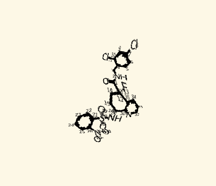 O=C(NCc1ccc(Cl)cc1Cl)[C@]1(F)CC[C@@H](NS(=O)(=O)c2ccccc2[N+](=O)[O-])c2ncccc21